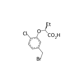 CC[C@H](Oc1cc(CBr)ccc1Cl)C(=O)O